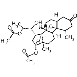 CC(=O)OC(C)C(O)[C@H]1C[C@H](OC(C)=O)[C@@]2(C)CC[C@H]3[C@@H](CC[C@H]4CC(=O)C[C@H](C)[C@@]43C)[C@H]12